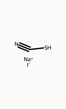 N#CS.[I-].[Na+]